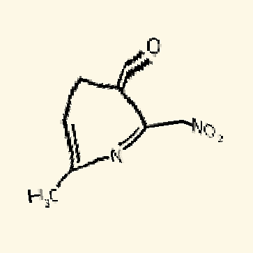 CC1=CCC(=O)C([N+](=O)[O-])=N1